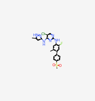 Cc1cc(Nc2nc(Nc3cc(C)c(-c4ccc(S(C)(=O)=O)cc4)cc3F)ncc2Cl)n[nH]1